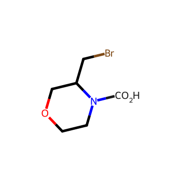 O=C(O)N1CCOCC1CBr